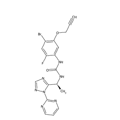 C#CCOc1cc(NC(=O)N[C@@H](C)c2ncnn2-c2ncccn2)c(F)cc1Br